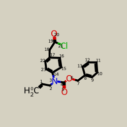 C=CCN(C(=O)OCc1ccccc1)c1ccc(CC(=O)Cl)cc1